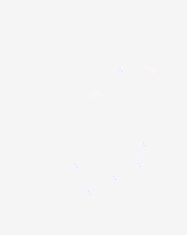 CC[S+]([O-])Nc1ccc(-c2n[nH]c(Nc3cnccn3)c2C=O)cc1OCc1ccccc1F